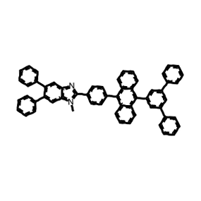 Cn1c(-c2ccc(-c3c4ccccc4c(-c4cc(-c5ccccc5)cc(-c5ccccc5)c4)c4ccccc34)cc2)nc2cc(-c3ccccc3)c(-c3ccccc3)cc21